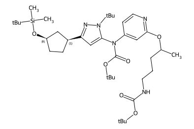 CC(CCCNC(=O)OC(C)(C)C)Oc1cc(N(C(=O)OC(C)(C)C)c2cc([C@H]3CC[C@@H](O[Si](C)(C)C(C)(C)C)C3)nn2C(C)(C)C)ccn1